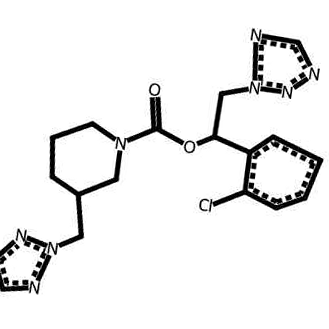 O=C(OC(Cn1ncnn1)c1ccccc1Cl)N1CCCC(Cn2nccn2)C1